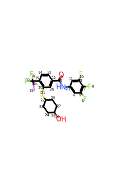 O=C(Nc1cc(F)c(F)c(F)c1)c1ccc(C(F)(F)I)c(SC2CCC(O)CC2)c1